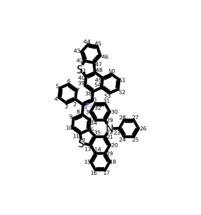 C(=C(/c1ccccc1)c1ccc2sc3c4ccccc4cc(N(c4ccccc4)c4ccccc4)c3c2c1)/c1cc2sc3ccccc3c2c2ccccc12